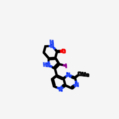 COc1ncc2nccc(-c3[nH]c4c(c3I)C(=O)NCC4)c2n1